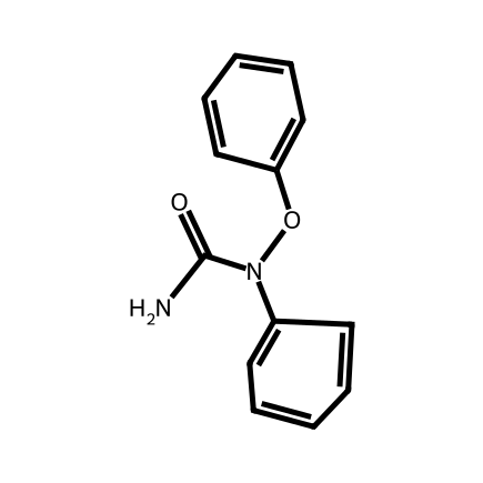 NC(=O)N(Oc1ccccc1)c1ccccc1